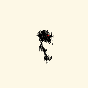 CC(=O)O[C@H]1[C@H]2[C@H]([C@@H]3[C@@H](O)[C@@H]4[C@H]([C@H](C)[C@H]5O[C@]56OC(=O)[C@@](C)(O)[C@]46C)[C@@]3(C)[C@H]1OC(C)=O)[C@@H](OC(=O)CCCCn1cc(CNC(=O)CCCC[C@@H]3SC[C@@H]4NC(=O)N[C@@H]43)nn1)C(=O)[C@H]1C[C@@H]3O[C@@H]3[C@H](OC(C)=O)[C@]21C